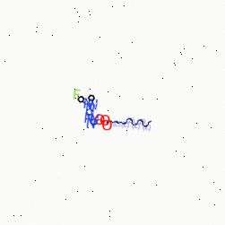 CC/C=C\C/C=C\C/C=C\C/C=C\C/C=C\C/C=C/CCC(=O)OCOc1ccnc(N(C)C2CCN(c3nc4ccccc4n3Cc3ccc(F)cc3)CC2)n1